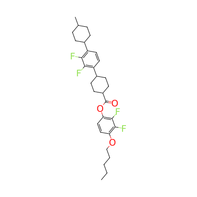 CCCCCOc1ccc(OC(=O)C2CCC(c3ccc(C4CCC(C)CC4)c(F)c3F)CC2)c(F)c1F